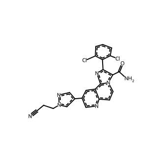 N#CCCn1cc(-c2cnc3ccn4c(C(N)=O)c(-c5c(Cl)cccc5Cl)nc4c3c2)cn1